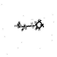 CCC1=C(C)c2cc3[nH]c(c(C)c3CC)c(Br)c3nc(c4c5[nH]c(cc1n2)c(C)c5C(=O)C4)[C@@H](CCC(=O)NCCCCCCNC(=O)C(CCN(CC=O)CN(CC=O)CC(=O)O)NCC=O)[C@@H]3C